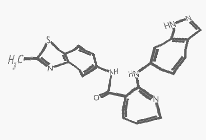 Cc1nc2cc(NC(=O)c3cccnc3Nc3ccc4cn[nH]c4c3)ccc2s1